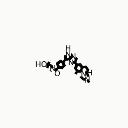 Cc1cc(-c2cnc3[nH]cc(-c4ccc(C(=O)N(C)CC(C)(C)O)cc4)c3n2)cc2c1N1CCN(C)C[C@H]1CC2